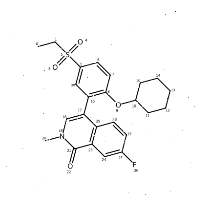 CCS(=O)(=O)c1ccc(OC2CCCCC2)c(-c2cn(C)c(=O)c3cc(F)ccc23)c1